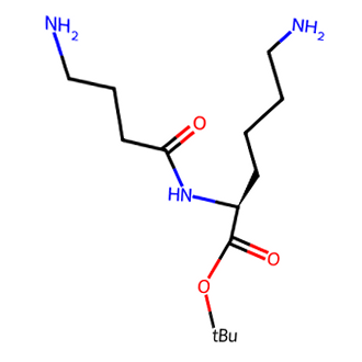 CC(C)(C)OC(=O)[C@H](CCCCN)NC(=O)CCCN